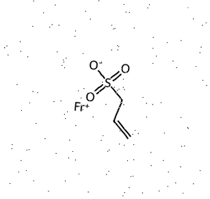 C=CCS(=O)(=O)[O-].[Fr+]